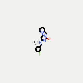 CN(Cc1cccc(F)c1)c1cc2n(c(=O)n1)CC1CCCCN21